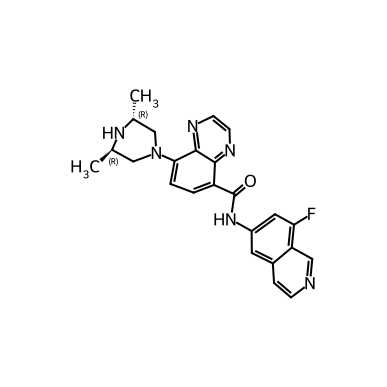 C[C@@H]1CN(c2ccc(C(=O)Nc3cc(F)c4cnccc4c3)c3nccnc23)C[C@@H](C)N1